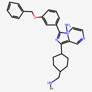 CC(C)NCC1CCC(C2=C3C=NC=C[N+]3(N)C(c3cccc(OCc4ccccc4)c3)=N2)CC1